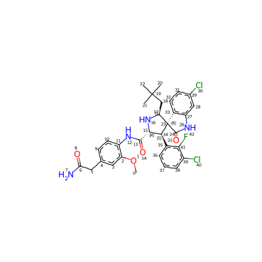 COc1cc(CC(N)=O)ccc1NC(=O)[C@@H]1N[C@@H](CC(C)(C)C)[C@@]2(C(=O)Nc3cc(Cl)ccc32)[C@H]1c1cccc(Cl)c1F